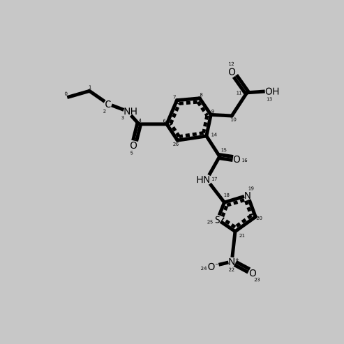 CCCNC(=O)c1ccc(CC(=O)O)c(C(=O)Nc2ncc([N+](=O)[O-])s2)c1